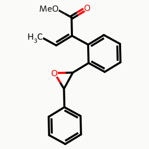 CC=C(C(=O)OC)c1ccccc1C1OC1c1ccccc1